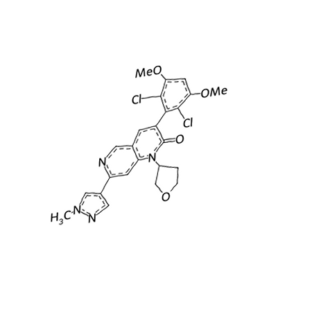 COc1cc(OC)c(Cl)c(-c2cc3cnc(-c4cnn(C)c4)cc3n(C3CCOC3)c2=O)c1Cl